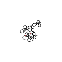 CC(=O)OC(c1cn(C)cn1)C1C(=O)N(C(C(=O)OCc2ccc([N+](=O)[O-])cc2)=P(c2ccccc2)(c2ccccc2)c2ccccc2)C1SC(c1ccccc1)(c1ccccc1)c1ccccc1